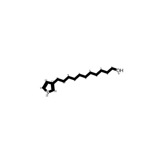 OCCCCCCCCCCCc1ccsc1